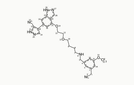 N#CCc1cc(CNCCCCOCCOc2cc(-c3cn[nH]c3C#N)cc3[nH]ncc23)cc(OC(F)(F)F)c1